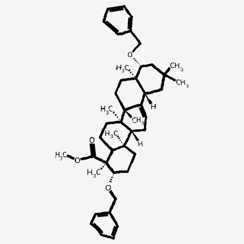 COC(=O)[C@@]1(C)C2CC[C@]3(C)[C@H](CC=C4[C@H]5CC(C)(C)C[C@@H](OCc6ccccc6)[C@]5(C)CC[C@]43C)[C@@]2(C)CC[C@@H]1OCc1ccccc1